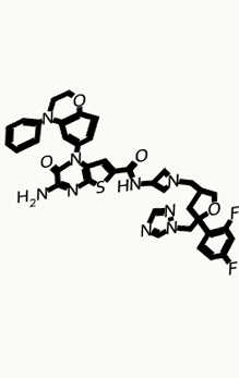 Nc1nc2sc(C(=O)NC3CN(CC4COC(Cn5cncn5)(c5ccc(F)cc5F)C4)C3)cc2n(-c2ccc3c(c2)N(c2ccccc2)CCO3)c1=O